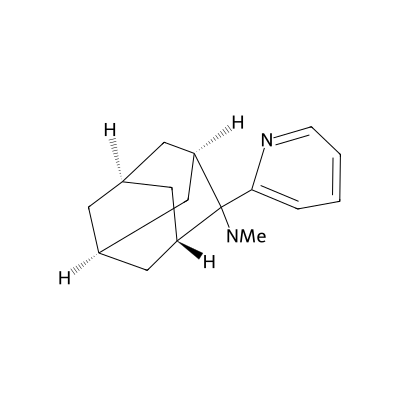 CNC1(c2ccccn2)[C@H]2C[C@H]3C[C@H](C2)C[C@H]1C3